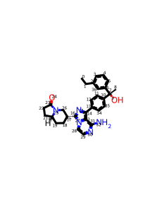 CCc1cccc([C@](C)(O)c2ccc(-c3nc([C@@H]4CC[C@H]5CCC(=O)N5C4)n4ccnc(N)c34)cc2)c1